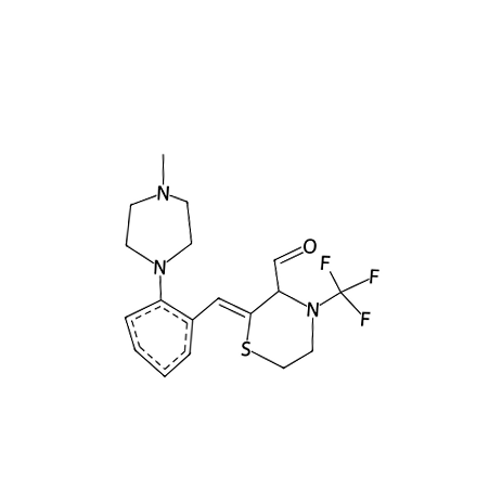 CN1CCN(c2ccccc2C=C2SCCN(C(F)(F)F)C2C=O)CC1